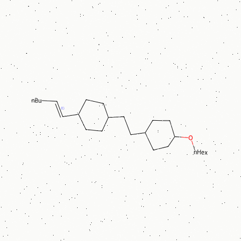 CCCC/C=C/C1CCC(CCC2CCC(OCCCCCC)CC2)CC1